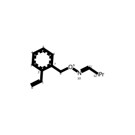 C=Cc1ccccc1CON=CC(C)C